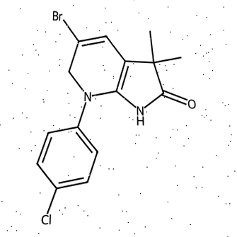 CC1(C)C(=O)NC2=C1C=C(Br)CN2c1ccc(Cl)cc1